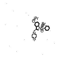 CC(C)Oc1ccc2c(c1)c(CN1CCN(C)CC1)cn2S(=O)(=O)c1ccccc1Br